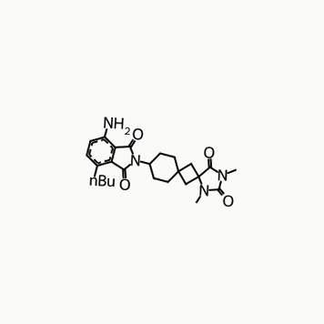 CCCCc1ccc(N)c2c1C(=O)N(C1CCC3(CC1)CC1(C3)C(=O)N(C)C(=O)N1C)C2=O